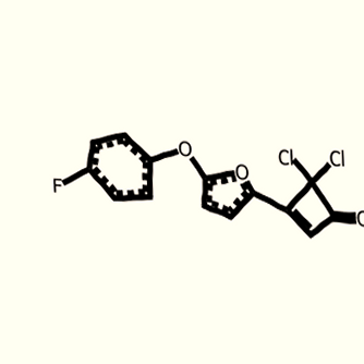 O=C1C=C(c2ccc(Oc3ccc(F)cc3)o2)C1(Cl)Cl